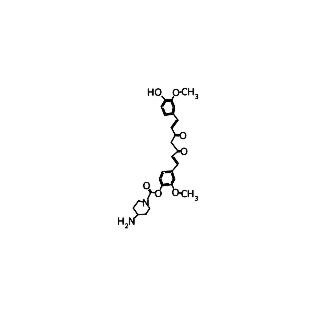 COc1cc(C=CC(=O)CC(=O)C=Cc2ccc(OC(=O)N3CCC(N)CC3)c(OC)c2)ccc1O